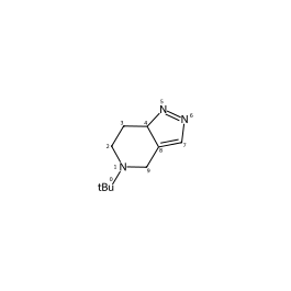 CC(C)(C)N1CCC2N=NC=C2C1